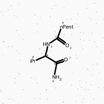 CCCCCC(=O)NC(C(N)=O)C(C)C